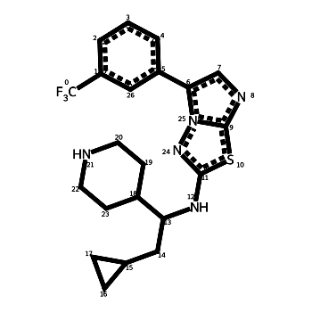 FC(F)(F)c1cccc(-c2cnc3sc(NC(CC4CC4)C4CCNCC4)nn23)c1